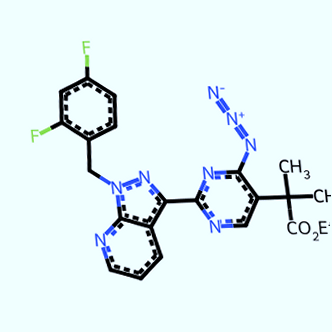 CCOC(=O)C(C)(C)c1cnc(-c2nn(Cc3ccc(F)cc3F)c3ncccc23)nc1N=[N+]=[N-]